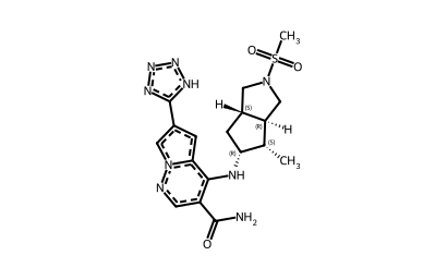 C[C@H]1[C@@H]2CN(S(C)(=O)=O)C[C@H]2C[C@H]1Nc1c(C(N)=O)cnn2cc(-c3nnn[nH]3)cc12